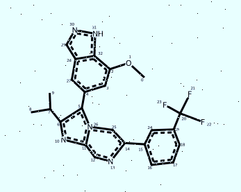 COc1cc(-c2c(C(C)C)nc3cnc(-c4cccc(C(F)(F)F)c4)cn23)cc2cn[nH]c12